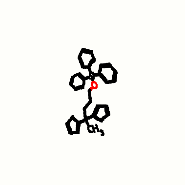 CC(CCCO[Si](c1ccccc1)(c1ccccc1)c1ccccc1)(C1=CC=CC1)C1=CC=CC1